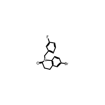 O=C1CCc2cc(Br)ccc2N1Cc1cccc(F)c1